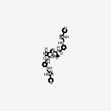 CC(NC(=O)c1cccc(NCc2nnc(-c3ccncc3)[nH]2)c1)c1cn[nH]c1-c1cnc(C(NC(=O)c2cccc(NCc3nnc(-c4ccncc4)[nH]3)c2)C2CC2)n1C